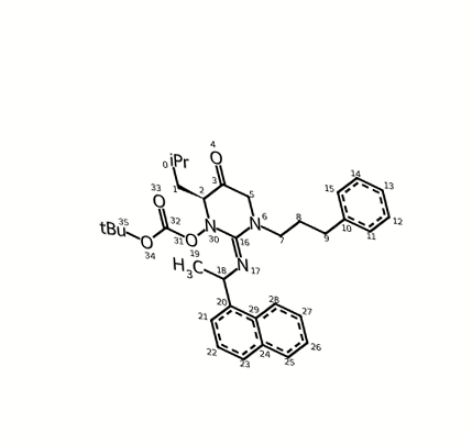 CC(C)C[C@H]1C(=O)CN(CCCc2ccccc2)C(=NC(C)c2cccc3ccccc23)N1OC(=O)OC(C)(C)C